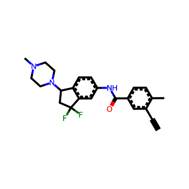 C#Cc1cc(C(=O)Nc2ccc3c(c2)C(F)(F)CC3N2CCN(C)CC2)ccc1C